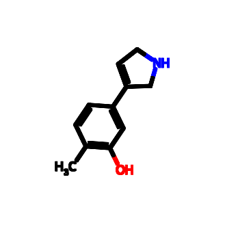 Cc1ccc(C2=CCNC2)cc1O